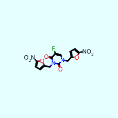 O=c1c(F)cn(Cc2ccc([N+](=O)[O-])o2)c(=O)n1Cc1ccc([N+](=O)[O-])o1